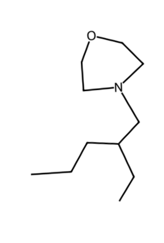 CCCC(CC)CN1CCOCC1